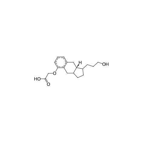 O=C(O)COc1cccc2c1CC1CCC(CCCO)[C@H]1C2